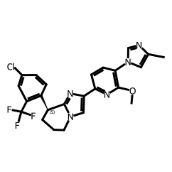 COc1nc(-c2cn3c(n2)[C@H](c2ccc(Cl)cc2C(F)(F)F)CCC3)ccc1-n1cnc(C)c1